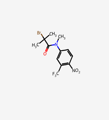 CN(C(=O)C(C)(C)Br)c1ccc([N+](=O)[O-])c(C(F)(F)F)c1